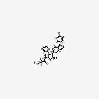 CC(F)(F)C(=O)NC1CC(=O)N(c2cc3cnn(-c4ccc(F)cc4)c3cn2)[C@@H]1c1ccccc1